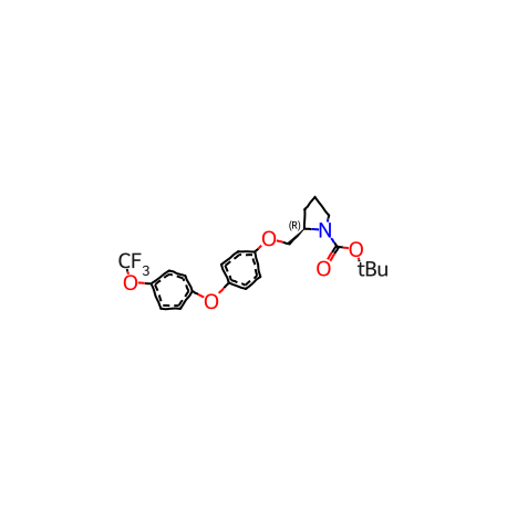 CC(C)(C)OC(=O)N1CCC[C@@H]1COc1ccc(Oc2ccc(OC(F)(F)F)cc2)cc1